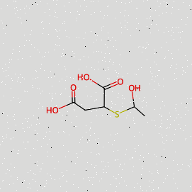 CC(O)SC(CC(=O)O)C(=O)O